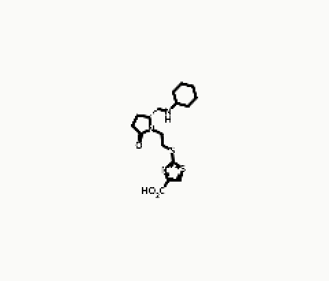 O=C(O)c1csc(SCCN2C(=O)CC[C@@H]2CNC2CCCCC2)n1